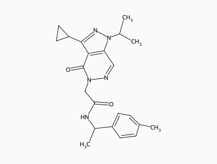 Cc1ccc(C(C)NC(=O)Cn2ncc3c(c(C4CC4)nn3C(C)C)c2=O)cc1